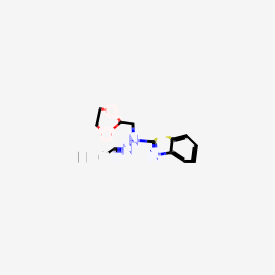 C/C=N/N(CC1OCCO1)c1nc2ccccc2s1